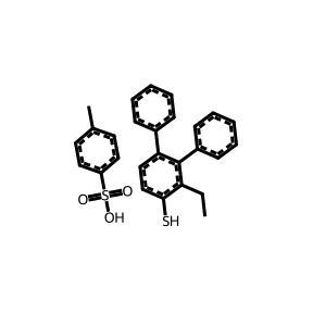 CCc1c(S)ccc(-c2ccccc2)c1-c1ccccc1.Cc1ccc(S(=O)(=O)O)cc1